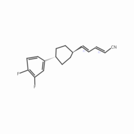 N#C/C=C/C=C/[C@H]1CC[C@H](c2ccc(F)c(F)c2)CC1